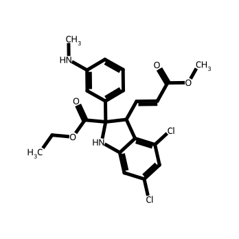 CCOC(=O)C1(c2cccc(NC)c2)Nc2cc(Cl)cc(Cl)c2C1C=CC(=O)OC